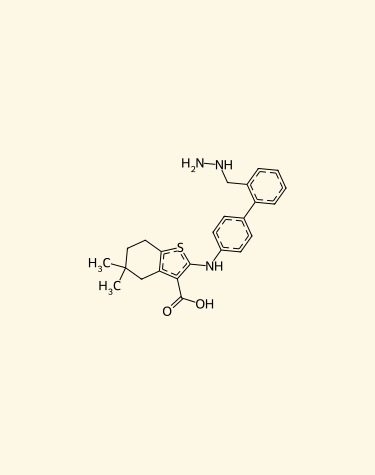 CC1(C)CCc2sc(Nc3ccc(-c4ccccc4CNN)cc3)c(C(=O)O)c2C1